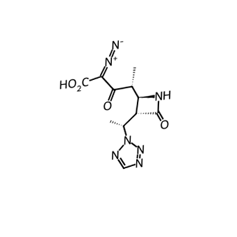 C[C@H]([C@H]1C(=O)N[C@@H]1[C@@H](C)C(=O)C(=[N+]=[N-])C(=O)O)n1ncnn1